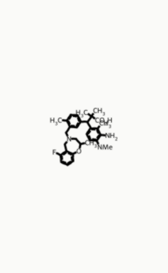 CNc1ccc(C(c2ccc(C)c(CN3Cc4c(F)cccc4OC(C)C3)c2)C(C)(C)C(=O)O)c(C)c1N